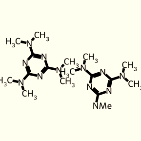 CN(C)c1nc(N(C)C)nc(N(C)C)n1.CNc1nc(N(C)C)nc(N(C)C)n1